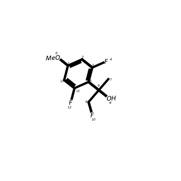 COc1cc(F)c(C(C)(O)CF)c(F)c1